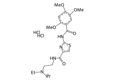 CCN(CCNC(=O)c1csc(NC(=O)c2cc(OC)c(OC)cc2OC)n1)C(C)C.Cl.Cl